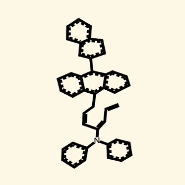 C=C/C=C(\C=C/Cc1c2ccccc2c(-c2ccc3ccccc3c2)c2ccccc12)N(c1ccccc1)c1ccccc1